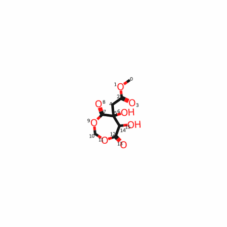 COC(=O)CC1(O)C(=O)OCOC(=O)C1O